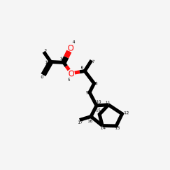 C=C(C)C(=O)OC(C)CCC1C2CCC(C2)C1C